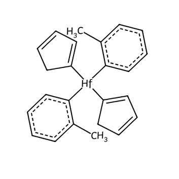 Cc1cccc[c]1[Hf]([C]1=CC=CC1)([C]1=CC=CC1)[c]1ccccc1C